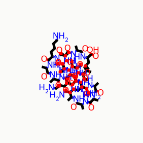 C=CCC(NC(=O)C(C)NC(=O)C(C)NC(=O)C(C)NC(=O)C(CCCCN)NC(=O)C(C)NC(=O)C(C)NC(=O)C(C)NC(=O)C(C)NC(=O)C(CCCCN)NC(=O)C(C)NC(=O)C(C)NC(=O)C(C)NC(=O)C(C)NC(=O)C(CCCCN)NC(=O)C(C)NC(=O)C(C)NC(=O)C(C)NC(=O)C(C)NC(=O)C(CCCCN)NC(=O)C(C)NC(=O)C(C)C)C(=O)O